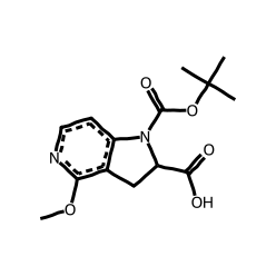 COc1nccc2c1CC(C(=O)O)N2C(=O)OC(C)(C)C